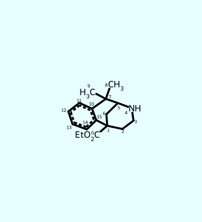 CCOC(=O)C12CCNC(C1)C(C)(C)c1ccccc12